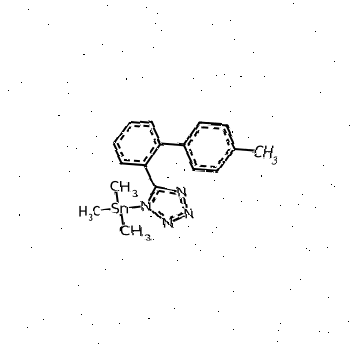 Cc1ccc(-c2ccccc2-c2nnn[n]2[Sn]([CH3])([CH3])[CH3])cc1